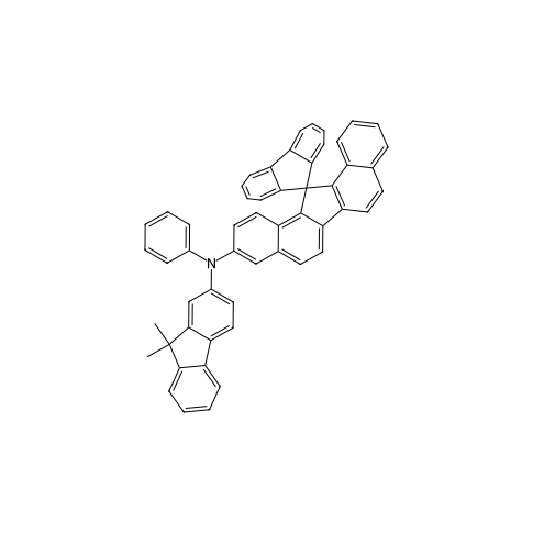 CC1(C)c2ccccc2-c2ccc(N(c3ccccc3)c3ccc4c5c(ccc4c3)-c3ccc4ccccc4c3C53c4ccccc4-c4ccccc43)cc21